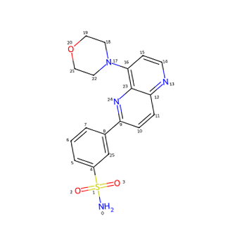 NS(=O)(=O)c1cccc(-c2ccc3nccc(N4CCOCC4)c3n2)c1